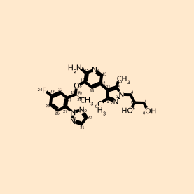 Cc1nn(CC(O)CO)c(C)c1-c1cnc(N)c(O[C@H](C)c2cc(F)ccc2-n2nccn2)c1